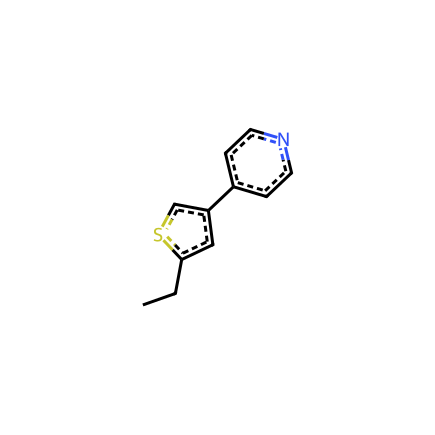 CCc1cc(-c2ccncc2)cs1